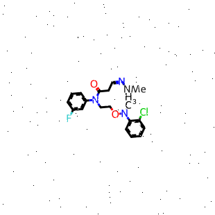 CN/N=C\CC(=O)N(CCON(C)c1ccccc1Cl)c1cccc(F)c1